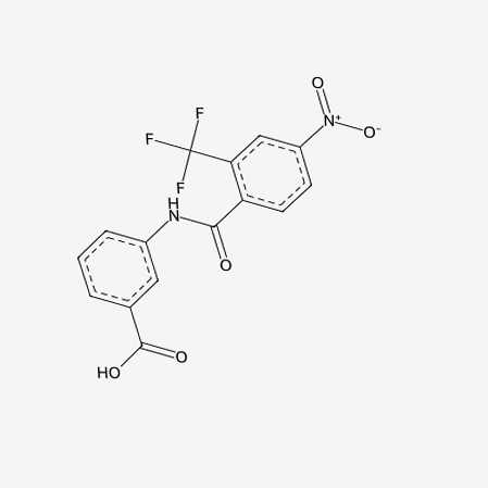 O=C(O)c1cccc(NC(=O)c2ccc([N+](=O)[O-])cc2C(F)(F)F)c1